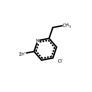 CCc1ccc[c]([Zn+])n1.[Cl-]